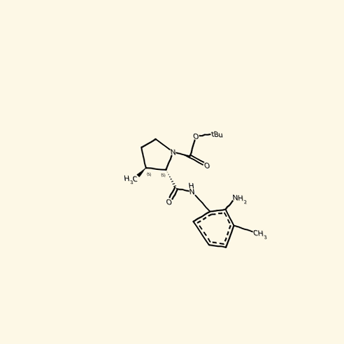 Cc1cccc(NC(=O)[C@@H]2[C@@H](C)CCN2C(=O)OC(C)(C)C)c1N